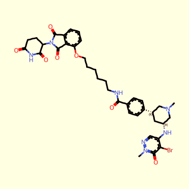 CN1C[C@H](Nc2cnn(C)c(=O)c2Br)C[C@H](c2ccc(C(=O)NCCCCCCOc3cccc4c3C(=O)N(C3CCC(=O)NC3=O)C4=O)cc2)C1